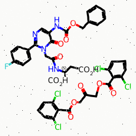 O=C(COC(=O)c1c(Cl)cccc1Cl)COC(=O)c1c(Cl)cccc1Cl.O=C(O)C[C@H](NC(=O)Cn1c(-c2ccc(F)cc2)ncc(NC(=O)OCc2ccccc2)c1=O)C(=O)O